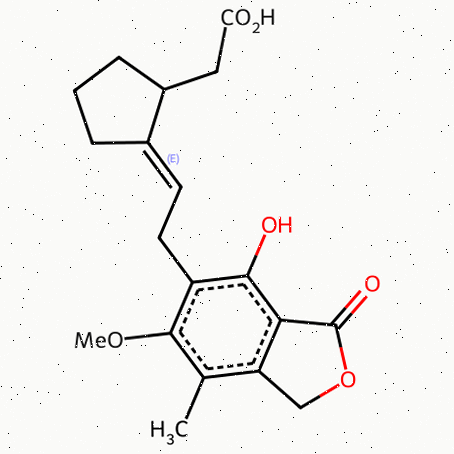 COc1c(C)c2c(c(O)c1C/C=C1\CCCC1CC(=O)O)C(=O)OC2